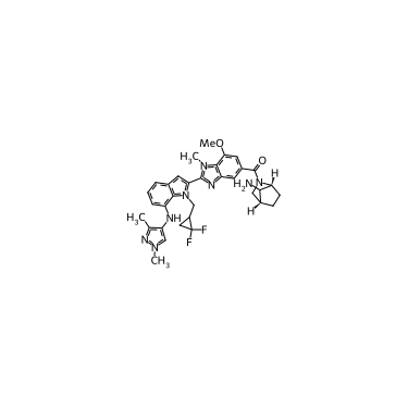 COc1cc(C(=O)N2C[C@H]3CC[C@@H]2C3N)cc2nc(-c3cc4cccc(Nc5cn(C)nc5C)c4n3CC3CC3(F)F)n(C)c12